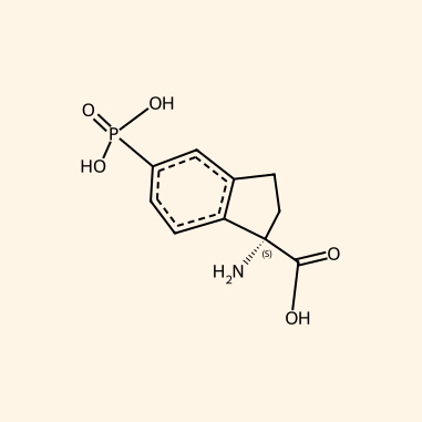 N[C@@]1(C(=O)O)CCc2cc(P(=O)(O)O)ccc21